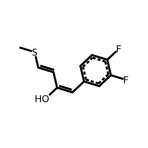 CS/C=C/C(O)=C\c1ccc(F)c(F)c1